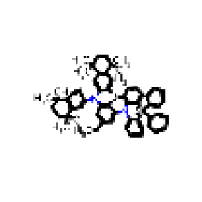 CCc1cc2c3c(c1)N1c4ccccc4[Si](c4ccccc4)(c4ccccc4)c4cccc(c41)B3c1cc3c(cc1N2c1ccc2c(c1)C(C)(C)CCC2(C)C)C(C)(C)CCC3(C)C